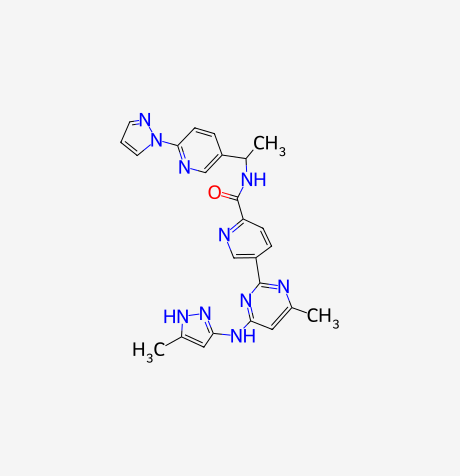 Cc1cc(Nc2cc(C)[nH]n2)nc(-c2ccc(C(=O)NC(C)c3ccc(-n4cccn4)nc3)nc2)n1